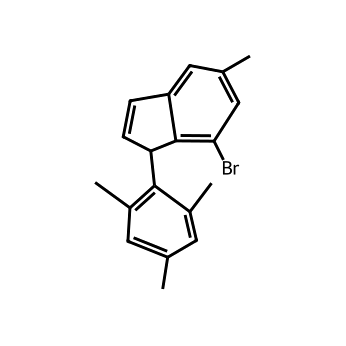 Cc1cc(C)c(C2C=Cc3cc(C)cc(Br)c32)c(C)c1